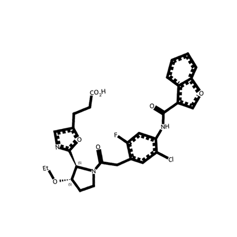 CCO[C@H]1CCN(C(=O)Cc2cc(Cl)c(NC(=O)c3coc4ccccc34)cc2F)[C@@H]1c1ncc(CCC(=O)O)o1